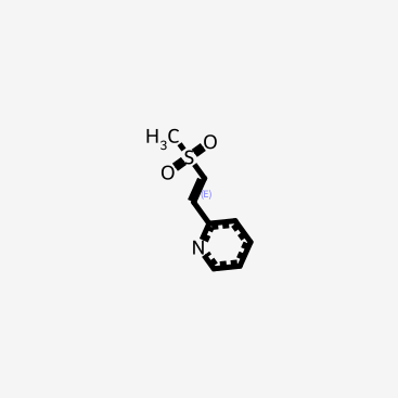 CS(=O)(=O)/C=C/c1ccccn1